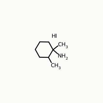 CC1CCCCC1(C)N.I